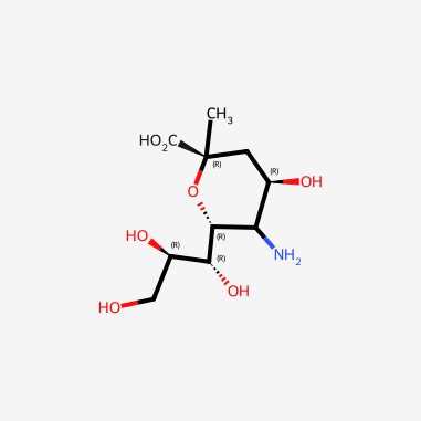 C[C@]1(C(=O)O)C[C@@H](O)C(N)[C@H]([C@H](O)[C@H](O)CO)O1